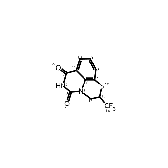 O=c1[nH]c(=O)n2c3c(cccc13)SC(C(F)(F)F)C2